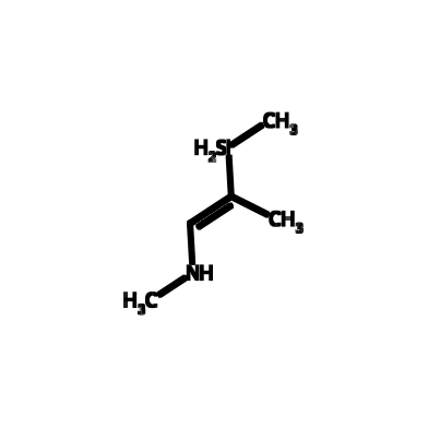 CN/C=C(\C)[SiH2]C